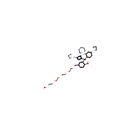 O=C(O)NCCOCCOCCOCCNC(=O)c1ccc2c(c1)C1(OC2=O)c2ccc(N3CCC3)cc2[Si]2(CCCCC2)c2cc(N3CCC3)ccc21